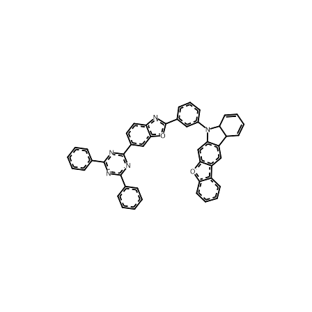 C1=CC2c3cc4c(cc3N(c3cccc(-c5nc6ccc(-c7nc(-c8ccccc8)nc(-c8ccccc8)n7)cc6o5)c3)C2C=C1)oc1ccccc14